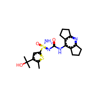 Cc1sc([S@@](N)(=O)=NC(=O)Nc2c3c(nc4c2CCC4)CCC3)cc1C(C)(C)O